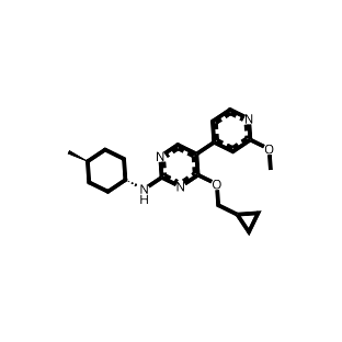 COc1cc(-c2cnc(N[C@H]3CC[C@H](C)CC3)nc2OCC2CC2)ccn1